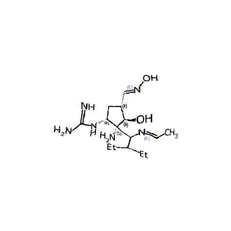 C/C=N/C(C(CC)CC)[C@]1(N)[C@H](O)[C@@H](/C=N/O)C[C@H]1NC(=N)N